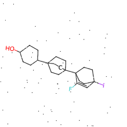 OC1CCC(C23CCC(C45CCC(I)(C=C4F)CC5)(CC2)CC3)CC1